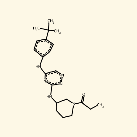 CCC(=O)N1CCCC(Nc2nncc(Nc3ccc(C(C)(C)C)cc3)n2)C1